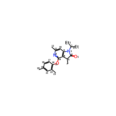 CCC(CC)N1C(=O)C(C)c2c1cc(C)nc2Oc1ccc(C)cc1C